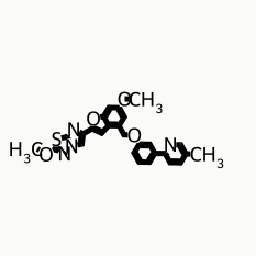 COc1cc(COc2cccc(-c3ccc(C)cn3)c2)c2cc(-c3cn4nc(OC)sc4n3)oc2c1